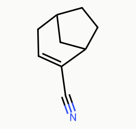 N#CC1=CCC2CCC1C2